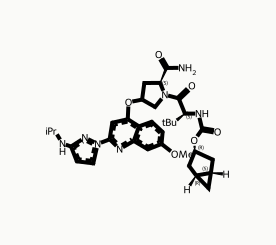 COc1ccc2c(OC3C[C@@H](C(N)=O)N(C(=O)[C@@H](NC(=O)O[C@@H]4C[C@@H]5C[C@@H]5C4)C(C)(C)C)C3)cc(-n3ccc(NC(C)C)n3)nc2c1